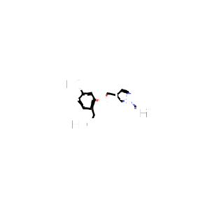 CCc1ccc(C)cc1OCC1C=CN(CC)C1